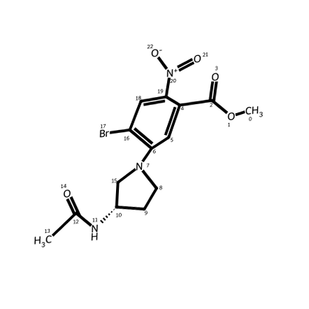 COC(=O)c1cc(N2CC[C@H](NC(C)=O)C2)c(Br)cc1[N+](=O)[O-]